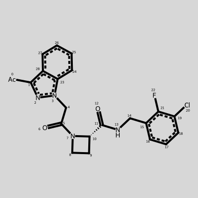 CC(=O)c1nn(CC(=O)N2CC[C@H]2C(=O)NCc2cccc(Cl)c2F)c2ccccc12